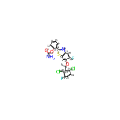 CC(Oc1cc2sc(-c3ccccc3OC(N)=O)nc2cc1F)c1c(Cl)ccc(F)c1Cl